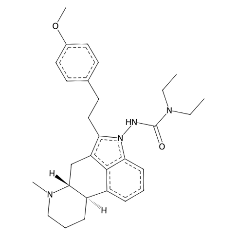 CCN(CC)C(=O)Nn1c(CCc2ccc(OC)cc2)c2c3c(cccc31)[C@H]1CCCN(C)[C@@H]1C2